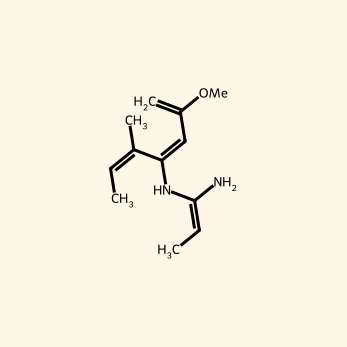 C=C(/C=C(N/C(N)=C\C)\C(C)=C/C)OC